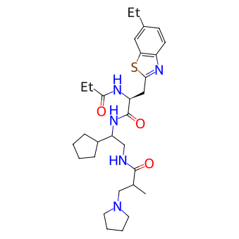 CCC(=O)N[C@@H](Cc1nc2ccc(CC)cc2s1)C(=O)NC(CNC(=O)C(C)CN1CCCC1)C1CCCC1